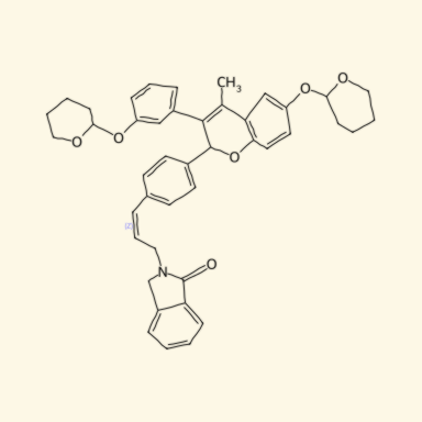 CC1=C(c2cccc(OC3CCCCO3)c2)C(c2ccc(/C=C\CN3Cc4ccccc4C3=O)cc2)Oc2ccc(OC3CCCCO3)cc21